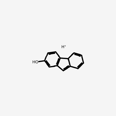 Oc1ccc2c(c1)C=C1C=CC=CC12.[H+]